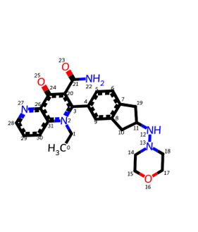 CCn1c(-c2ccc3c(c2)CC(NN2CCOCC2)C3)c(C(N)=O)c(=O)c2ncccc21